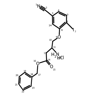 Cl.N#Cc1ccc(I)c(OCC(N)CC(=O)OCc2ccccc2)c1